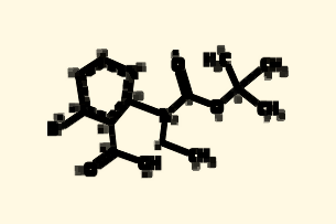 CCN(C(=O)OC(C)(C)C)c1nccc(Br)c1C(=O)O